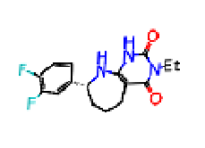 CCn1c(=O)[nH]c2c(c1=O)CCC[C@H](c1ccc(F)c(F)c1)N2